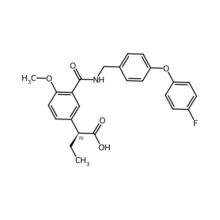 CC[C@H](C(=O)O)c1ccc(OC)c(C(=O)NCc2ccc(Oc3ccc(F)cc3)cc2)c1